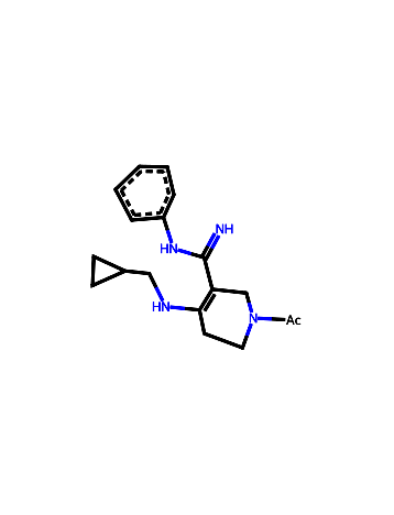 CC(=O)N1CCC(NCC2CC2)=C(C(=N)Nc2ccccc2)C1